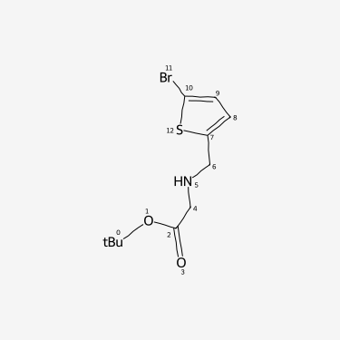 CC(C)(C)OC(=O)CNCc1ccc(Br)s1